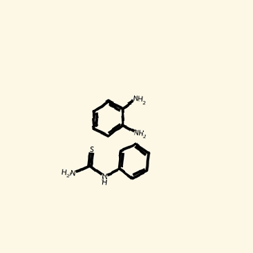 NC(=S)Nc1ccccc1.Nc1ccccc1N